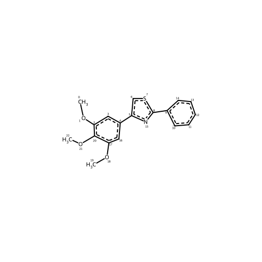 COc1cc(-c2csc(-c3[c]cccc3)n2)cc(OC)c1OC